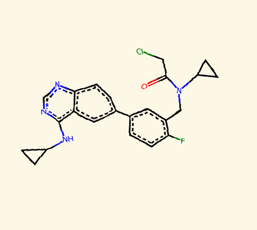 O=C(CCl)N(Cc1cc(-c2ccc3ncnc(NC4CC4)c3c2)ccc1F)C1CC1